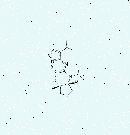 CC(C)c1cnn2cc3c(nc12)N(C(C)C)[C@@H]1CCC[C@@H]1O3